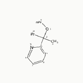 CCCOC(C)(c1ccccn1)C(C)C